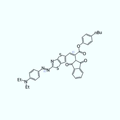 CCCCc1ccc(OC(=O)/C(=C/c2cc3sc(/N=N/c4ccc(N(CC)CC)cc4)nc3s2)C2C(=O)c3ccccc3C2=O)cc1